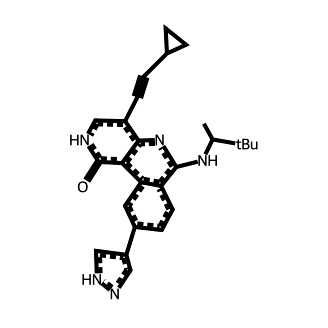 CC(Nc1nc2c(C#CC3CC3)c[nH]c(=O)c2c2cc(-c3cn[nH]c3)ccc12)C(C)(C)C